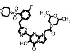 CC1CN(C(=O)Cn2ccn3c(=O)c(O)c(-c4ncc(Cc5ccc(F)cc5S(=O)(=O)N5CCOCC5)s4)nc23)CC(C)O1